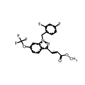 COC(=O)/C=C/c1nn(Cc2ccc(F)cc2F)c2cc(OC(F)(F)F)ccc12